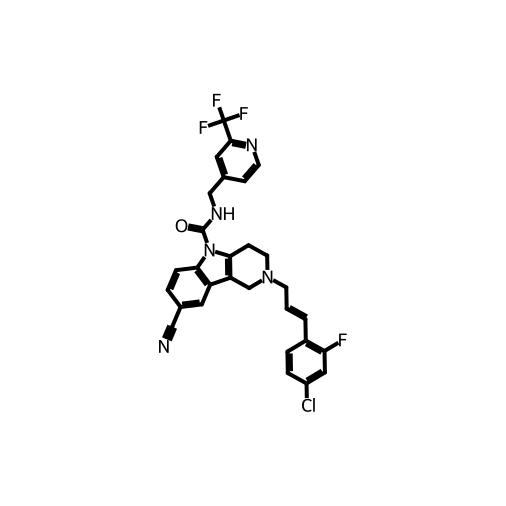 N#Cc1ccc2c(c1)c1c(n2C(=O)NCc2ccnc(C(F)(F)F)c2)CCN(CC=Cc2ccc(Cl)cc2F)C1